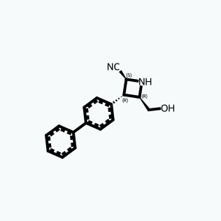 N#C[C@H]1N[C@@H](CO)[C@@H]1c1ccc(-c2ccccc2)cc1